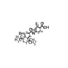 CC1(C)CCC(C)(C)c2c(Br)cc(C(=O)Nc3ccc(C(=O)O)c(F)c3)cc21